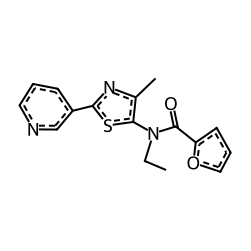 CCN(C(=O)c1ccco1)c1sc(-c2cccnc2)nc1C